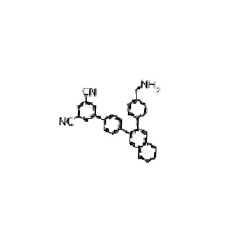 N#Cc1cc(C#N)cc(-c2ccc(-c3cc4ccccc4cc3-c3ccc(CN)cc3)cc2)c1